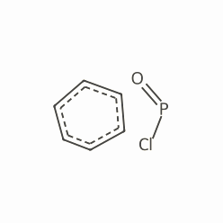 O=PCl.c1ccccc1